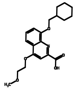 COCCOc1cc(C(=O)O)nc2c(OCC3CCCCC3)cccc12